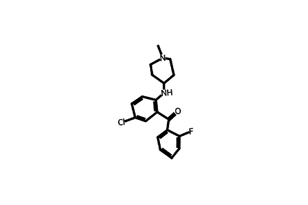 CN1CCC(Nc2ccc(Cl)cc2C(=O)c2ccccc2F)CC1